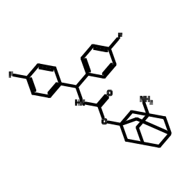 NC12CC3CC(C1)CC(OC(=O)NC(c1ccc(F)cc1)c1ccc(F)cc1)(C3)C2